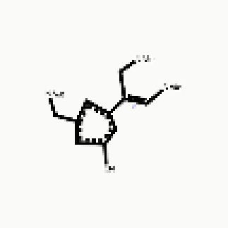 CN/C=C(\CNC)c1cc(C#N)cc(CNC)c1